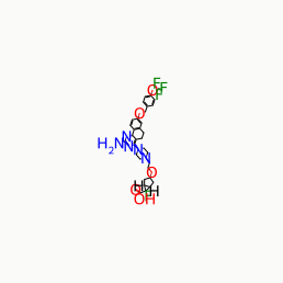 Nc1nc2c(c(N3CCN(CCO[C@H]4C[C@@H]5[C@H](C4)[C@]5(F)C(=O)O)CC3)n1)CCc1cc(OCc3ccc(OC(F)(F)F)cc3)ccc1-2